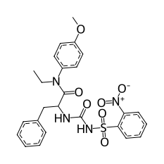 CCN(C(=O)C(Cc1ccccc1)NC(=O)NS(=O)(=O)c1ccccc1[N+](=O)[O-])c1ccc(OC)cc1